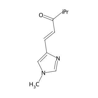 CC(C)C(=O)/C=C/c1cn(C)cn1